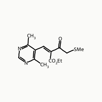 CCOC(=O)C(=Cc1c(C)ncnc1C)C(=O)CSC